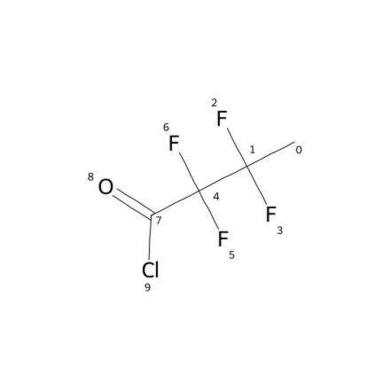 CC(F)(F)C(F)(F)C(=O)Cl